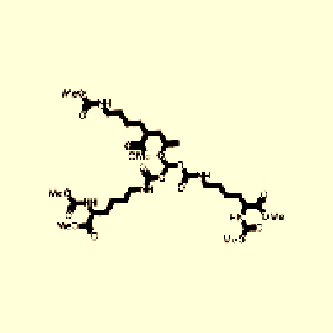 C=C(CC(CCCCNC(=O)OC)C(=O)OC)OC(OC(=O)NCCCCC(NC(=O)OC)C(=O)OC)OC(=O)NCCCCC(NC(=O)OC)C(=O)OC